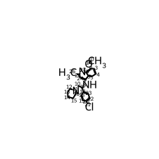 COc1cccc2c(NC(CN3CCCCC3)c3ccc(Cl)cc3)cc(C)nc12